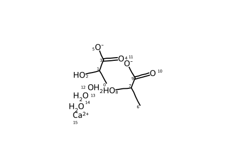 CC(O)C(=O)[O-].CC(O)C(=O)[O-].O.O.O.[Ca+2]